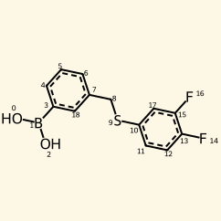 OB(O)c1cccc(CSc2ccc(F)c(F)c2)c1